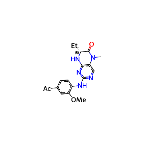 CC[C@H]1Nc2nc(Nc3ccc(C(C)=O)cc3OC)ncc2N(C)C1=O